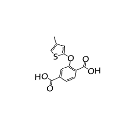 Cc1csc(Oc2cc(C(=O)O)ccc2C(=O)O)c1